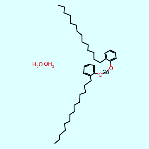 CCCCCCCCCCCCCCc1ccccc1[O][Co][O]c1ccccc1CCCCCCCCCCCCCC.O.O